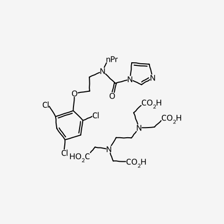 CCCN(CCOc1c(Cl)cc(Cl)cc1Cl)C(=O)n1ccnc1.O=C(O)CN(CCN(CC(=O)O)CC(=O)O)CC(=O)O